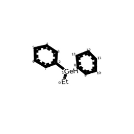 C[CH2][GeH]([c]1ccccc1)[c]1ccccc1